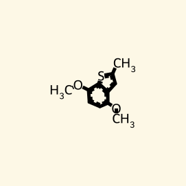 COc1ccc(OC)c2sc(C)cc12